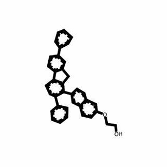 OCCOc1ccc2cc(-c3c(-c4ccccc4)ccc4c3Cc3cc(-c5ccccc5)ccc3-4)ccc2c1